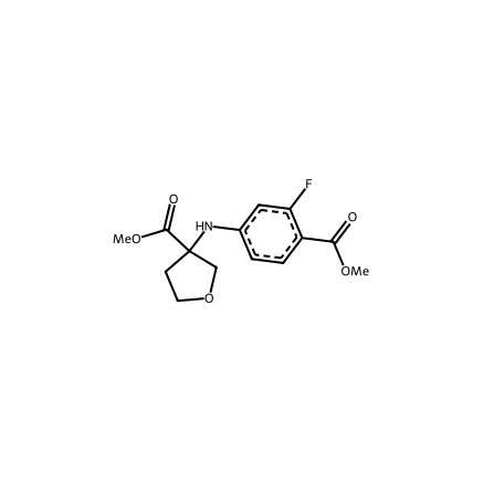 COC(=O)c1ccc(NC2(C(=O)OC)CCOC2)cc1F